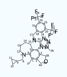 Cc1c2c(cc3c1N(CC1CC1)CCC[C@@H]3N(Cc1cc(C(F)(F)F)cc(C(F)(F)F)c1)c1nnn(C)n1)COC2